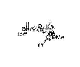 COC(=O)c1sc(C#CC(C)C)cc1N(C(=O)C1CCC(C)CC1)C1CCN(C(=O)CCCCCNC(=O)OC(C)(C)C)CC1